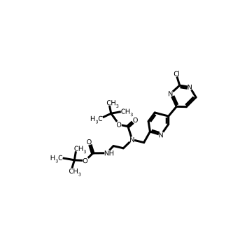 CC(C)(C)OC(=O)NCCN(Cc1ccc(-c2ccnc(Cl)n2)cn1)C(=O)OC(C)(C)C